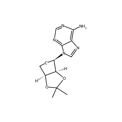 CC1(C)O[C@H]2[C@H](CC[C@H]2n2cnc3c(N)ncnc32)O1